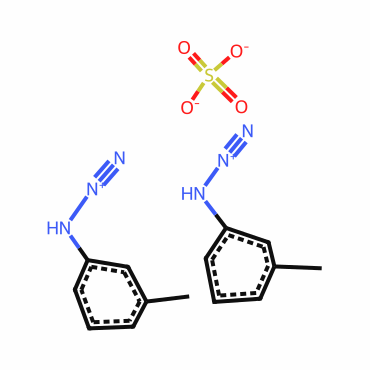 Cc1cccc(N[N+]#N)c1.Cc1cccc(N[N+]#N)c1.O=S(=O)([O-])[O-]